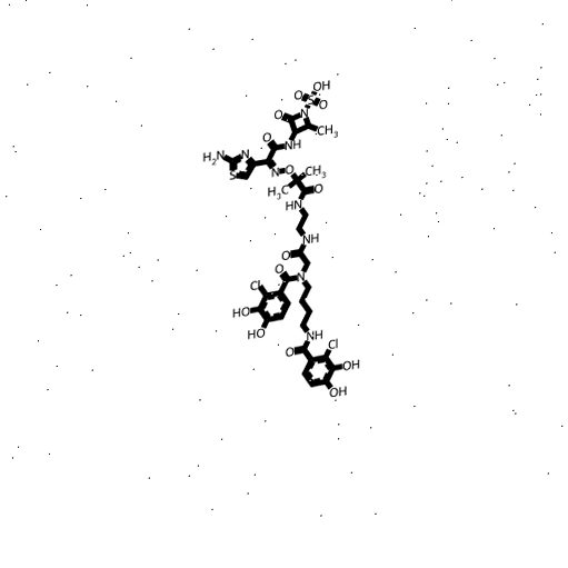 CC1C(NC(=O)/C(=N\OC(C)(C)C(=O)NCCNC(=O)CN(CCCCNC(=O)c2ccc(O)c(O)c2Cl)C(=O)c2ccc(O)c(O)c2Cl)c2csc(N)n2)C(=O)N1S(=O)(=O)O